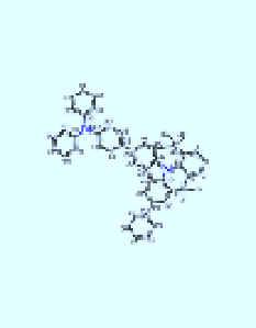 CC1(C)c2cccc3c2-n2c4c1cc(-c1ccccc1)cc4c1cc(-c4ccc(N(c5ccccc5)c5ccccc5)cc4)cc(c12)C3(C)C